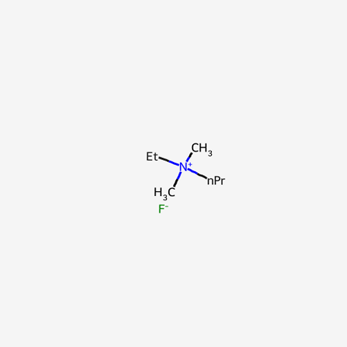 CCC[N+](C)(C)CC.[F-]